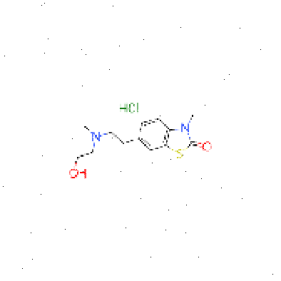 CN(CCO)CCc1ccc2c(c1)sc(=O)n2C.Cl